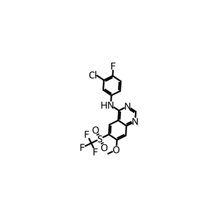 COc1cc2ncnc(Nc3ccc(F)c(Cl)c3)c2cc1S(=O)(=O)C(F)(F)F